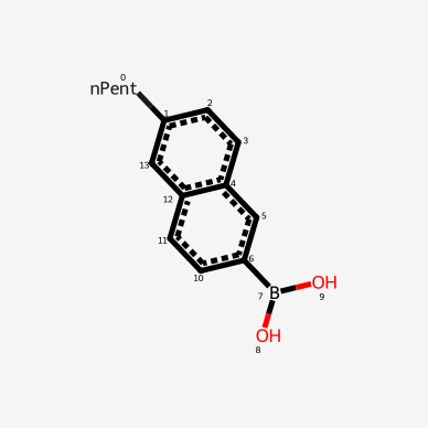 CCCCCc1ccc2cc(B(O)O)ccc2c1